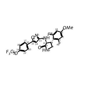 COc1cc(F)c([C@@H]2CNC(=O)[C@H]2Nc2cc(-c3ccc(OC(F)(F)F)cc3)on2)c(F)c1